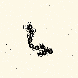 CC1(Oc2ccc3c(c2)c(-c2ccnc(N4CCC(OC5CCC(CN6CCN(c7ccc8c(c7F)CN(C7CCC(=O)NC7=O)C8=O)CC6)CC5)CC4)c2)nn3C2CCCCO2)CC1